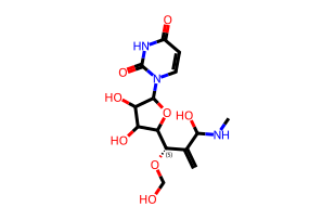 C=C(C(O)NC)[C@H](OCO)C1OC(n2ccc(=O)[nH]c2=O)C(O)C1O